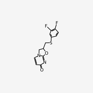 O=c1ccn2c(n1)OC(CSc1ccc(F)c(F)c1)C2